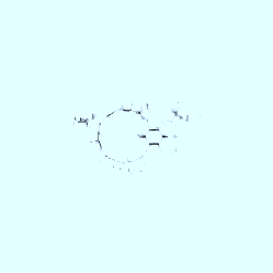 COC1=C2C[C@@H](C)C[C@H](OC)[C@H](O)[C@@H](C)C=C(C)[C@H](OC(N)=O)[C@@H](OC)C=CC=C(C)C(=O)NC(=C(SC[C@](C)(NC(C)=O)C(=O)O)C1=O)C2=O